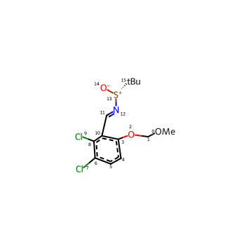 COCOc1ccc(Cl)c(Cl)c1C=N[S@+]([O-])C(C)(C)C